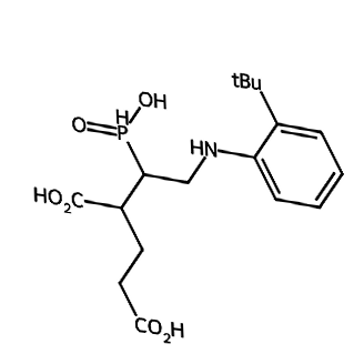 CC(C)(C)c1ccccc1NCC(C(CCC(=O)O)C(=O)O)[PH](=O)O